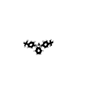 CC(C)(C)c1ccc(-n2c[n+](-c3ccc(C(C)(C)C)cc3)c3ccccc32)cc1